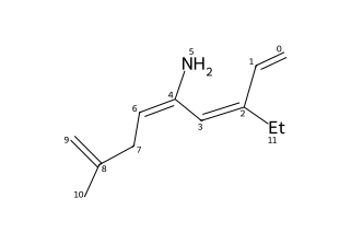 C=C/C(=C\C(N)=C/CC(=C)C)CC